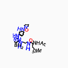 Bc1cnc(Nc2cccc(NC(=O)N3CCCC3)c2)nc1NCCCNC(=O)C(CCSC)NC(C)=O